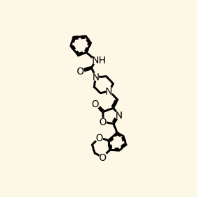 O=C1OC(c2cccc3c2OCCO3)=N/C1=C/N1CCN(C(=O)Nc2ccccc2)CC1